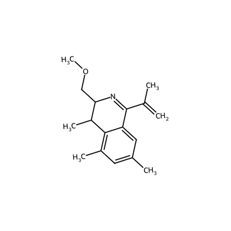 C=C(C)C1=NC(COC)C(C)c2c(C)cc(C)cc21